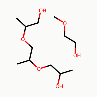 CC(O)COC(C)COC(C)CO.COCCO